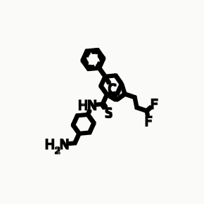 NCC1CCC(NC(=S)C23CC4CC(c5ccccc5)(CC2C4CCC(F)F)C3)CC1